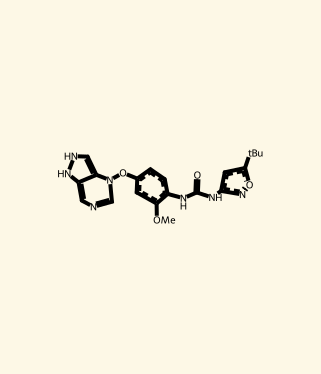 COc1cc(ON2C=NC=C3NNC=C32)ccc1NC(=O)Nc1cc(C(C)(C)C)on1